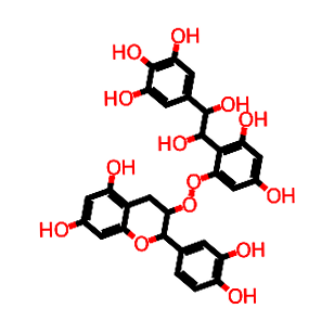 Oc1cc(O)c2c(c1)OC(c1ccc(O)c(O)c1)C(OOc1cc(O)cc(O)c1C(O)C(O)c1cc(O)c(O)c(O)c1)C2